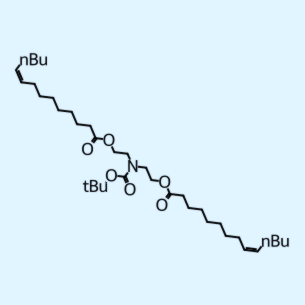 CCCC/C=C\CCCCCCCC(=O)OCCN(CCOC(=O)CCCCCCC/C=C\CCCC)C(=O)OC(C)(C)C